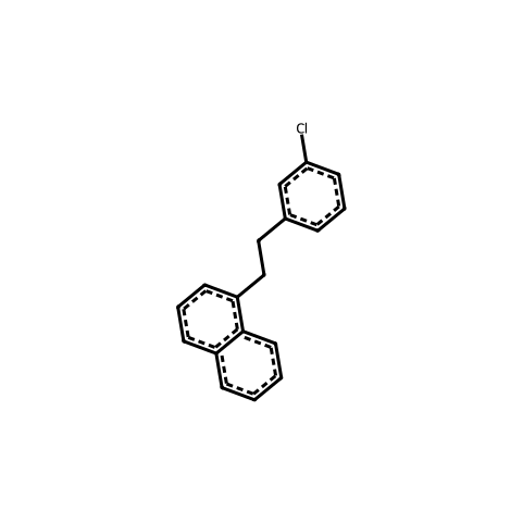 Clc1cccc(CCc2cccc3ccccc23)c1